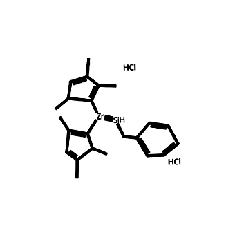 CC1=CC(C)[C](/[Zr](=[SiH]/Cc2ccccc2)[C]2=C(C)C=C(C)C2C)=C1C.Cl.Cl